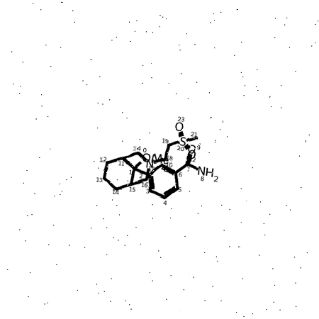 COC1(c2cccc(C(N)=O)c2)C2CCCC1CN(CCS(C)(=O)=O)C2